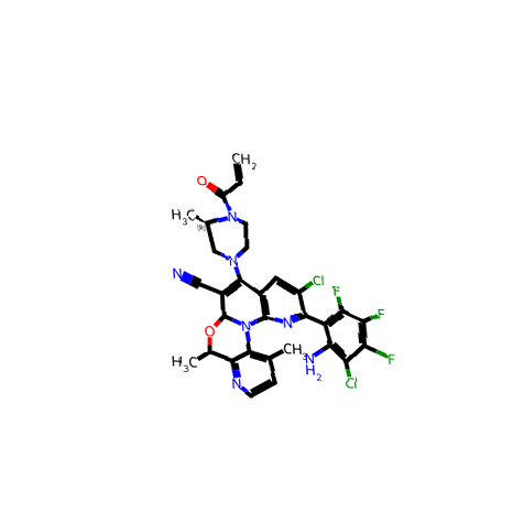 C=CC(=O)N1CCN(C2=C(C#N)C3OC(C)c4nccc(C)c4N3c3nc(-c4c(N)c(Cl)c(F)c(F)c4F)c(Cl)cc32)C[C@H]1C